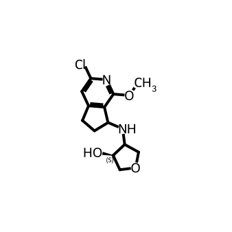 COc1nc(Cl)cc2c1C(NC1COC[C@H]1O)CC2